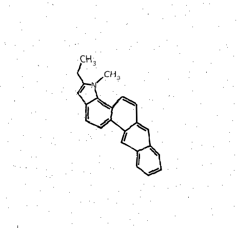 CCc1cc2ccc3c4cc5ccccc5cc4ccc3c2n1C